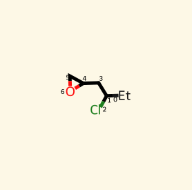 CCC(Cl)CC1CO1